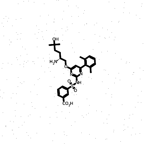 Cc1cccc(C)c1-c1cc(OC[C@H](N)CCC(C)(C)O)nc(NS(=O)(=O)c2cccc(C(=O)O)c2)n1